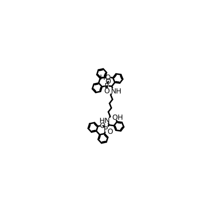 O=P1(C(NCCCCCCNC(c2ccccc2O)P2(=O)Oc3ccccc3-c3ccccc32)c2ccccc2O)Oc2ccccc2-c2ccccc21